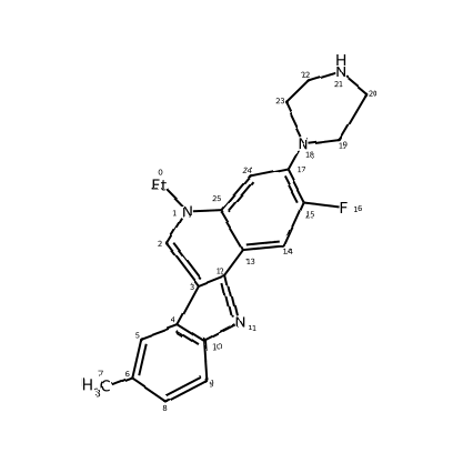 CCn1cc2c3cc(C)ccc3nc-2c2cc(F)c(N3CCNCC3)cc21